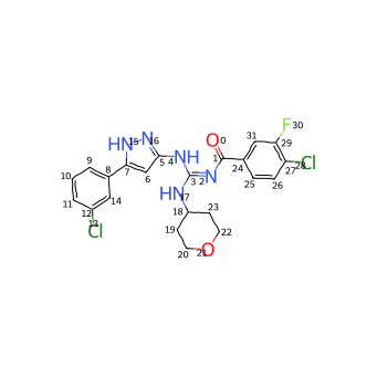 O=C(/N=C(\Nc1cc(-c2cccc(Cl)c2)[nH]n1)NC1CCOCC1)c1ccc(Cl)c(F)c1